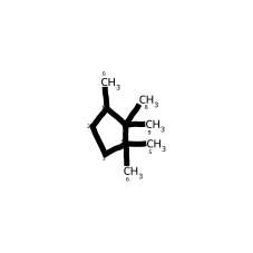 C[C]1CCC(C)(C)C1(C)C